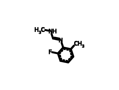 CNC=Nc1c(C)cccc1F